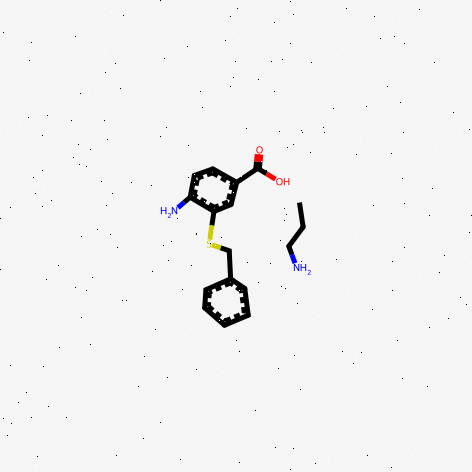 CCCN.Nc1ccc(C(=O)O)cc1SCc1ccccc1